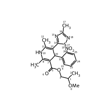 COC(C)COC(=O)C1=C(C)NC(C)=C(c2nc(C)ns2)C1c1ccccc1[N+](=O)[O-]